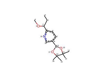 CCC(OC)c1ccc(B2OC(C)(C)C(C)(C)O2)cn1